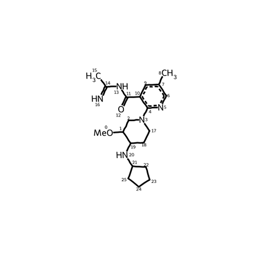 COC1CN(c2ncc(C)cc2C(=O)NC(C)=N)CCC1NC1CCCC1